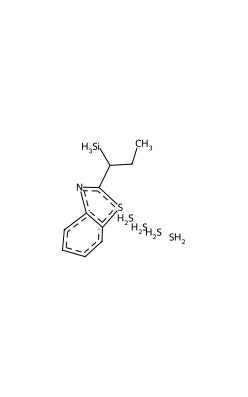 CCC([SiH3])c1nc2ccccc2s1.S.S.S.S